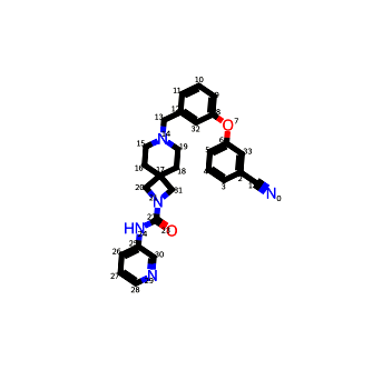 N#Cc1cccc(Oc2cccc(CN3CCC4(CC3)CN(C(=O)Nc3cccnc3)C4)c2)c1